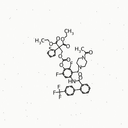 CCOC(=O)C(COC(=O)Oc1c(F)cc(NC(=O)c2ccccc2-c2ccc(C(F)(F)F)cc2)c(C(=O)N2CCN(C(C)=O)CC2)c1F)(C(=O)OCC)c1cccs1